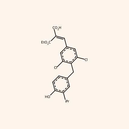 CCOC(=O)/C(=C\c1cc(Cl)c(Cc2ccc(O)c(C(C)C)c2)c(Cl)c1)C(=O)O